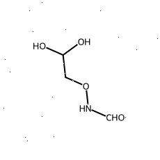 O=[C]NOCC(O)O